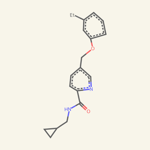 CCc1cccc(OCc2ccc(C(=O)NCC3CC3)nc2)c1